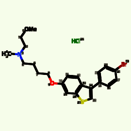 COCCN(C)CCCCOc1ccc2c(-c3ccc(Br)cc3)csc2c1.Cl